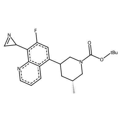 C[C@@H]1CC(c2cc(F)c(C3C=N3)c3ncccc23)CN(C(=O)OC(C)(C)C)C1